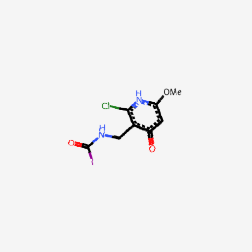 COc1cc(=O)c(CNC(=O)I)c(Cl)[nH]1